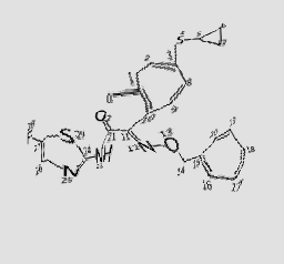 Cc1cc(SC2CC2)ccc1/C(=N\OCc1ccccc1)C(=O)Nc1ncc(F)s1